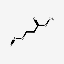 COC(=O)CCOP=O